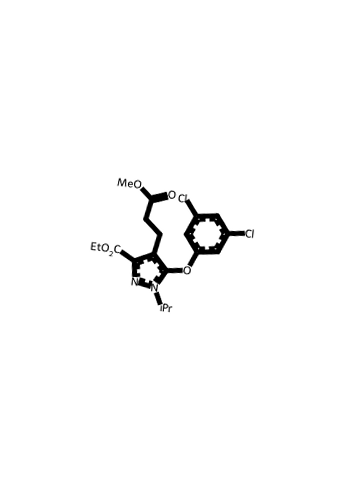 CCOC(=O)c1nn(C(C)C)c(Oc2cc(Cl)cc(Cl)c2)c1CCC(=O)OC